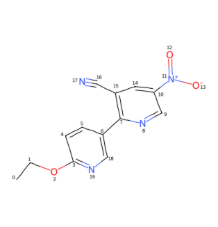 CCOc1ccc(-c2ncc([N+](=O)[O-])cc2C#N)cn1